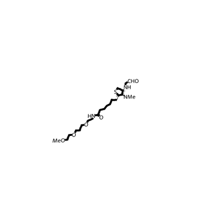 CN[C@H]1[C@@H](NCC=O)CS[C@H]1CCCCCCC(=O)NCCOCCCOCCOC